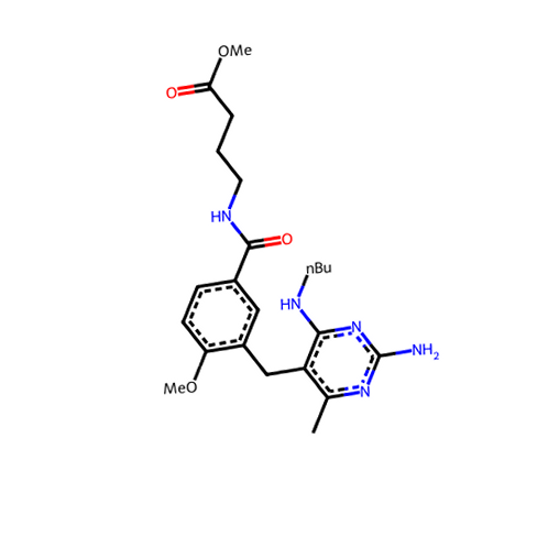 CCCCNc1nc(N)nc(C)c1Cc1cc(C(=O)NCCCC(=O)OC)ccc1OC